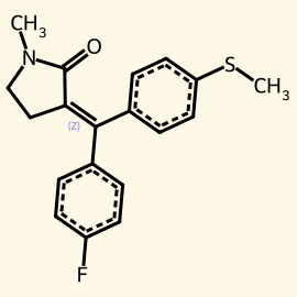 CSc1ccc(/C(=C2/CCN(C)C2=O)c2ccc(F)cc2)cc1